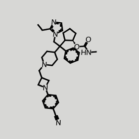 CCc1nccn1CC(c1ccccc1)(C1CCN(CC2CN(c3ccc(C#N)cc3)C2)CC1)C1CCC[C@H]1OC(=O)NC